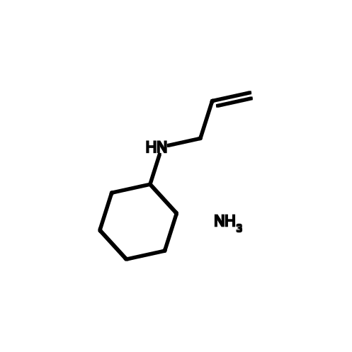 C=CCNC1CCCCC1.N